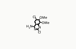 COc1c(Cl)cc2c(N)nc(Cl)nc2c1OC